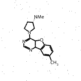 CN[C@H]1CCN(C2=NC=NC3c4cc(C)ccc4OC23)C1